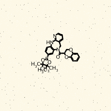 CC1(C)OB(c2ccc3c(c2)N(C(=O)C2COc4ccccc4O2)Cc2cccnc2N3)OC1(C)C